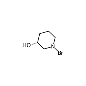 O[C@@H]1CCCN(Br)C1